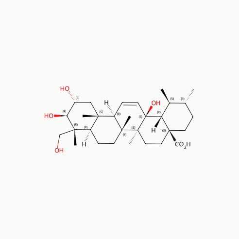 C[C@H]1[C@H](C)CC[C@]2(C(=O)O)CC[C@]3(C)[C@](O)(C=C[C@@H]4[C@@]5(C)C[C@@H](O)[C@H](O)[C@@](C)(CO)[C@@H]5CC[C@]43C)[C@H]12